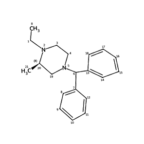 CCN1CCN(C(c2ccccc2)c2ccccc2)C[C@H]1C